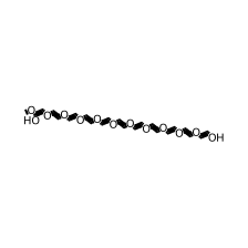 COC(O)COCCOCCOCCOCCOCCOCCOCCOCCOCCOCCO